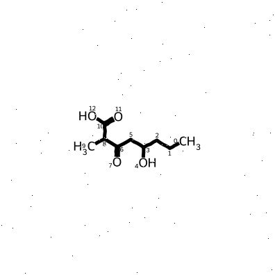 CCCC(O)CC(=O)C(C)C(=O)O